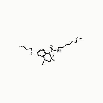 CCCCCCCCNC(=O)N1c2ccc(OCCCC)cc2C(C)CC1(C)C